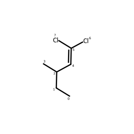 CCC(C)C=C(Cl)Cl